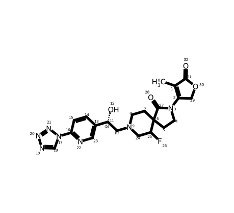 CC1=C(N2CCC3(CCN(C[C@@H](O)c4ccc(-n5cnnn5)nc4)CC3F)C2=O)COC1=O